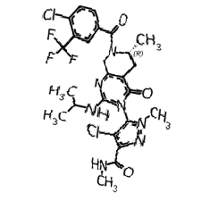 CNC(=O)c1nn(C)c(-n2c(NC(C)C)nc3c(c2=O)C[C@@H](C)N(C(=O)c2ccc(Cl)c(C(F)(F)F)c2)C3)c1Cl